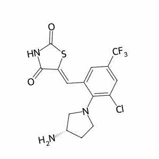 N[C@H]1CCN(c2c(Cl)cc(C(F)(F)F)cc2/C=C2\SC(=O)NC2=O)C1